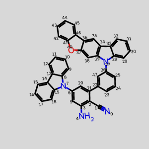 N#Cc1c(N)cc(-n2c3ccccc3c3ccccc32)cc1-c1cccc(-n2c3ccccc3c3cc4c(cc32)oc2ccccc24)c1